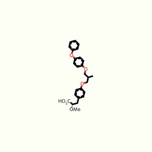 CO[C@@H](Cc1ccc(OCC(C)COc2ccc(Oc3ccccc3)cc2)cc1)C(=O)O